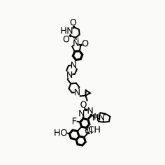 C#Cc1cccc2cc(O)cc(-c3c(Cl)cc4c(N5CC6CCC(C5)N6)nc(OCC5(CN6CCC(CN7CCN(c8ccc9c(c8)CN([C@H]8CCC(=O)NC8=O)C9=O)CC7)CC6)CC5)nc4c3F)c12